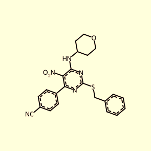 N#Cc1ccc(-c2nc(SCc3ccccc3)nc(NC3CCOCC3)c2[N+](=O)[O-])cc1